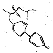 COC(=O)CS(=O)(=O)N(C)Cc1ccc(-c2ccc(Cl)cc2)cc1